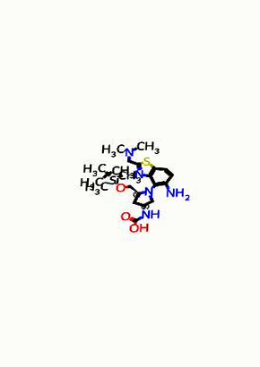 CN(C)Cc1nc2c(N3C[C@H](NC(=O)O)C[C@H]3CO[Si](C)(C)C(C)(C)C)c(N)ccc2s1